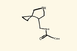 O=C(O)NCC1CNCC12CC2